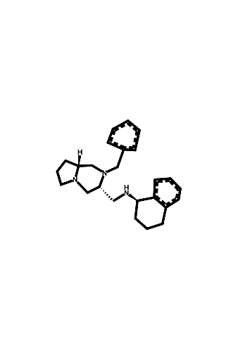 c1ccc(CN2C[C@H]3CCCN3C[C@H]2CN[C@@H]2CCCc3ccccc32)cc1